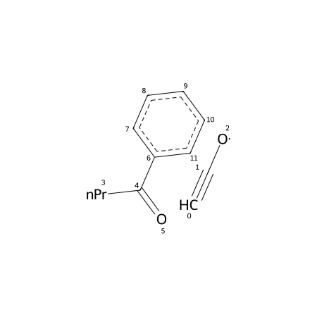 C#C[O].CCCC(=O)c1ccccc1